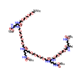 CNCCOCCOCCOCCOCCC(=O)NC(CCCCNC(=O)OC(C)(C)C)C(=O)NCCOCCOCCOCCOCCC(=O)NC(CCCCNC(=O)OC(C)(C)C)C(=O)CCCOCCOCCOCCOCCC(=O)NC(CCCCNC(=O)OC(C)(C)C)C(=O)NCCOCCOCCOCCOCCC(=O)NC(CCCCNC(=O)OC(C)(C)C)C(C)=O